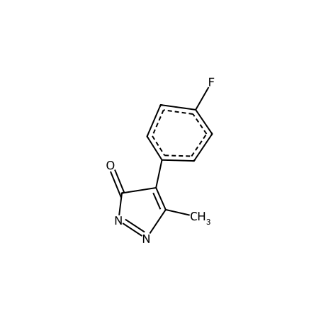 CC1=C(c2ccc(F)cc2)C(=O)N=N1